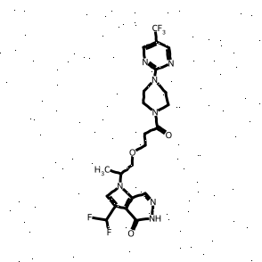 CC(COCCC(=O)N1CCN(c2ncc(C(F)(F)F)cn2)CC1)n1cc(C(F)F)c2c(=O)[nH]ncc21